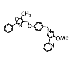 COc1cn(Cc2ccc(OCc3nc(-c4ccccc4)oc3C)cc2)cc1-c1ccccn1